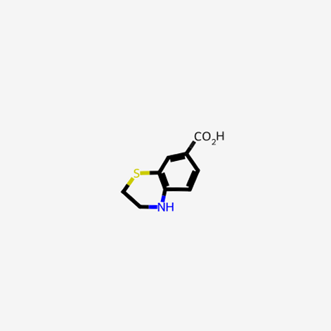 O=C(O)c1ccc2c(c1)SCCN2